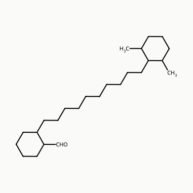 CC1CCCC(C)C1CCCCCCCCCCC1CCCCC1C=O